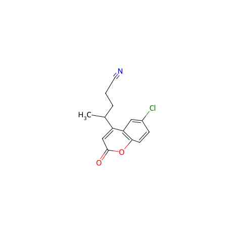 CC(CCC#N)c1cc(=O)oc2ccc(Cl)cc12